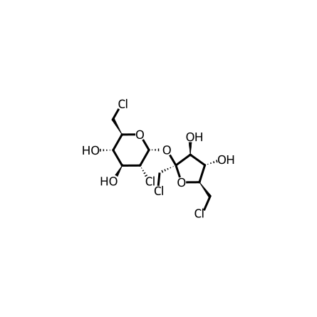 O[C@@H]1[C@@H](CCl)O[C@@](CCl)(O[C@H]2O[C@H](CCl)[C@@H](O)[C@H](O)[C@H]2Cl)[C@H]1O